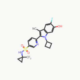 N#Cc1c(-c2ccc(S(=O)(=O)NC3(C(F)(F)F)CC3)cn2)n(C2CCC2)c2cc(O)c(F)cc12